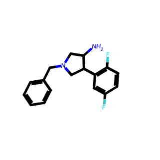 NC1CN(Cc2ccccc2)CC1c1cc(F)ccc1F